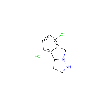 Cl.Clc1cccc2c1CN1NCCC21